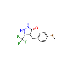 CSc1ccc(Cc2c(C(F)(F)F)[nH][nH]c2=O)cc1